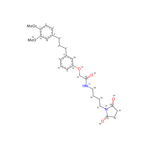 COc1ccc(CCCc2cccc(OCC(=O)NCCCCN3C(=O)CCC3=O)c2)cc1OC